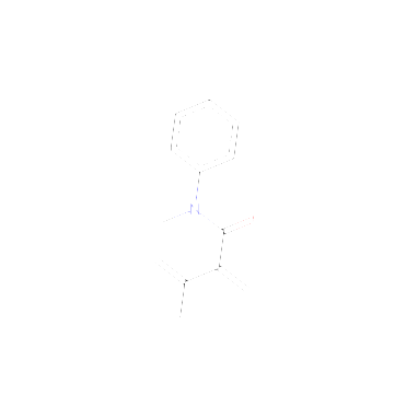 C=C(C)C(=C)C(=O)N(C)c1ccccc1